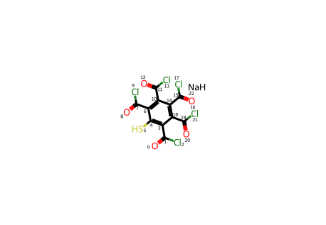 O=C(Cl)c1c(S)c(C(=O)Cl)c(C(=O)Cl)c(C(=O)Cl)c1C(=O)Cl.[NaH]